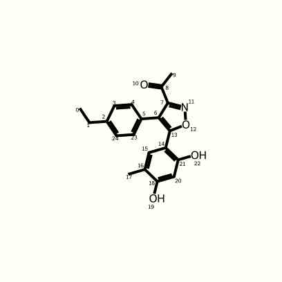 CCc1ccc(-c2c(C(C)=O)noc2-c2cc(C)c(O)cc2O)cc1